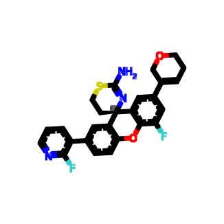 NC1=N[C@@]2(CCS1)c1cc(-c3cccnc3F)ccc1Oc1c(F)cc(C3=CCCOC3)cc12